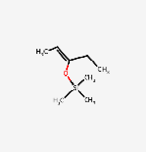 CC=C(CC)O[Si](C)(C)C